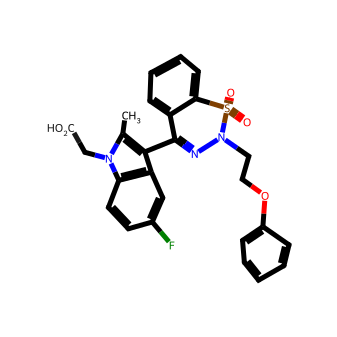 Cc1c(C2=NN(CCOc3ccccc3)S(=O)(=O)c3ccccc32)c2cc(F)ccc2n1CC(=O)O